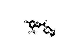 O=C(c1cc2c([N+](=O)[O-])cc(Cl)cn2n1)N1CCn2ccnc2C1